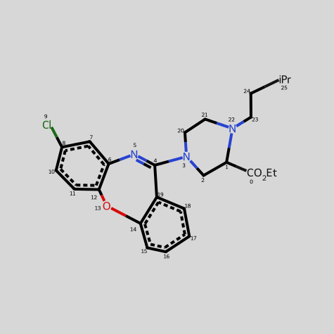 CCOC(=O)C1CN(C2=Nc3cc(Cl)ccc3Oc3ccccc32)CCN1CCC(C)C